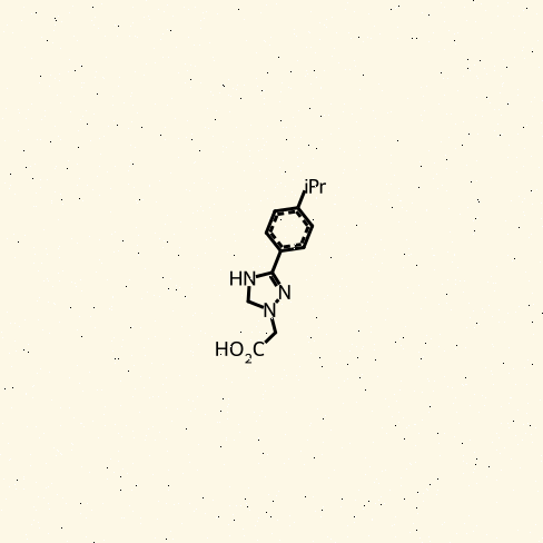 CC(C)c1ccc(C2=NN(CC(=O)O)CN2)cc1